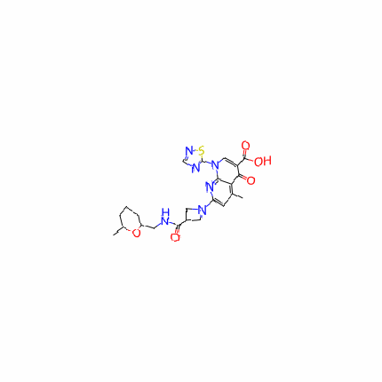 Cc1cc(N2CC(C(=O)NCC3CCCC(C)O3)C2)nc2c1c(=O)c(C(=O)O)cn2-c1ncns1